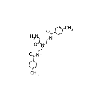 Cc1ccc(C(=O)NCCN(CCNC(=O)c2ccc(C)cc2)C(=O)CN)cc1